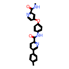 CNC(=O)c1cc(Oc2ccc(NC(=O)c3ccc(-c4ccc(C)cc4)cn3)cc2)ccn1